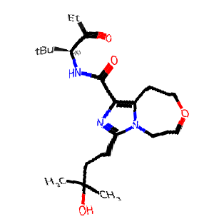 CCC(=O)[C@@H](NC(=O)c1nc(CCC(C)(C)O)n2c1CCOCC2)C(C)(C)C